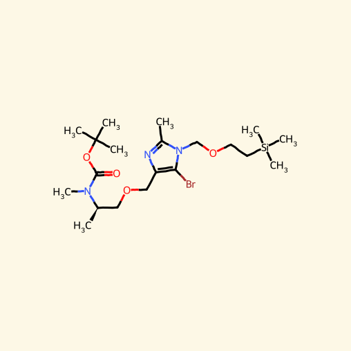 Cc1nc(COC[C@@H](C)N(C)C(=O)OC(C)(C)C)c(Br)n1COCC[Si](C)(C)C